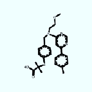 COCCN(Cc1ccc(SC(C)(C)C(=O)O)cc1)c1cc(-c2ccc(C)cc2)ncn1